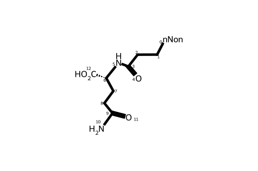 CCCCCCCCCCCC(=O)N[C@H](CCC(N)=O)C(=O)O